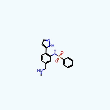 CNCc1ccc(-c2ccn[nH]2)c(NS(=O)(=O)c2ccccc2)c1